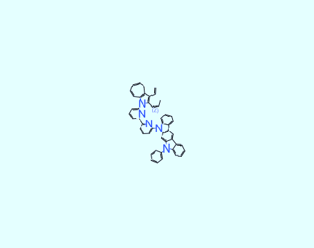 C=Cc1c2c(n(-c3cccc(-c4cccc(-n5c6ccccc6c6cc7c8ccccc8n(-c8ccccc8)c7cc65)n4)n3)c1/C=C\C)C=CC=CC2